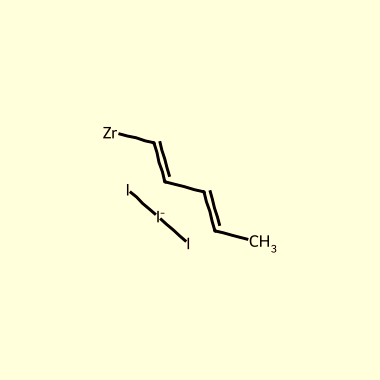 CC=CC=[CH][Zr].I[I-]I